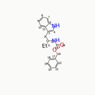 CCC(Cc1c[nH]c2ccccc12)NC(=O)OCc1ccccc1